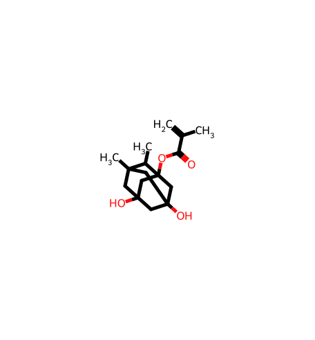 C=C(C)C(=O)OC12CC3(O)CC(O)(CC(C)(C3)C1C)C2